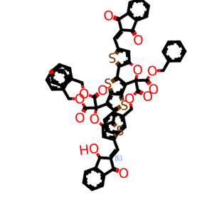 O=C1C(=Cc2cc3c(s2)-c2sc4c5c(sc4c2C(C(=O)OCc2ccccc2)(C(=O)OCc2ccccc2)O3)-c2sc(/C=C3/C(=O)c4ccccc4C3O)cc2OC5(C(=O)OCc2ccccc2)C(=O)OCc2ccccc2)C(=O)c2ccccc21